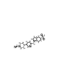 CS(=O)(=O)c1ccc2c(ccn2Cc2ccc(C3CCN(C#N)CC3)cn2)c1